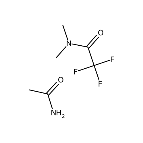 CC(N)=O.CN(C)C(=O)C(F)(F)F